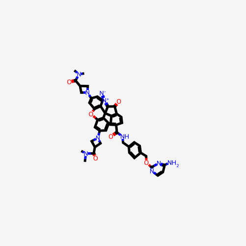 CN(C)C(=O)C1CN(c2ccc3c(c2)Oc2cc(N4CC(C(=O)N(C)C)C4)ccc2C32C(=[N+]=[N-])C(=O)c3ccc(C(=O)NCc4ccc(COc5nccc(N)n5)cc4)cc32)C1